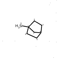 [SiH3]C12CCC(CC1)C2